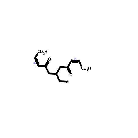 CC(=O)CC(CC(=O)/C=C\C(=O)O)CC(=O)/C=C\C(=O)O